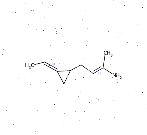 C/C=C1\CC1C/C=C(\C)N